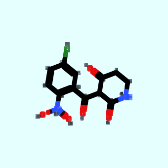 O=C1CCNC(=O)C1C(=O)c1cc(Cl)ccc1[N+](=O)[O-]